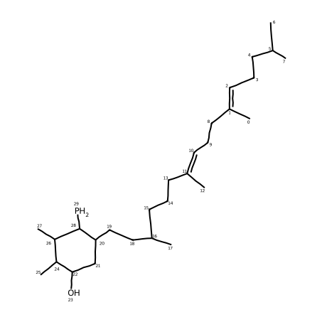 C/C(=C\CCC(C)C)CC/C=C(\C)CCCC(C)CCC1CC(O)C(C)C(C)C1P